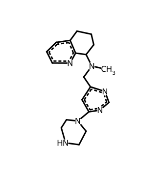 CN(Cc1cc(N2CCNCC2)ncn1)C1CCCc2cccnc21